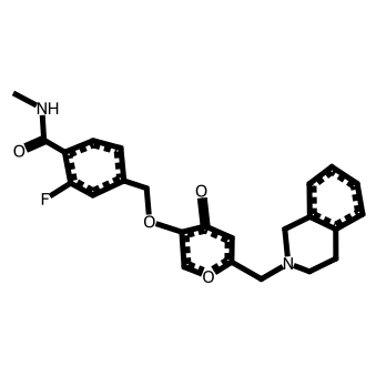 CNC(=O)c1ccc(COc2coc(CN3CCc4ccccc4C3)cc2=O)cc1F